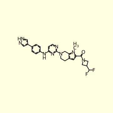 Cn1c(C(=O)N2CC(C(F)F)C2)cc2c1CN(c1nccc(Nc3ccc(-c4cn[nH]c4)cc3)n1)CC2